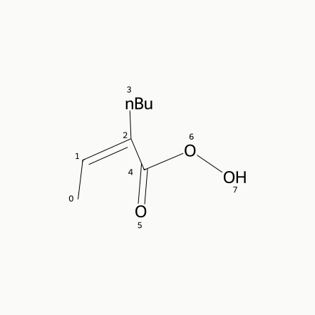 CC=C(CCCC)C(=O)OO